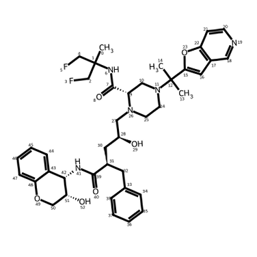 CC(CF)(CF)NC(=O)[C@@H]1CN(C(C)(C)c2cc3cnccc3o2)CCN1C[C@@H](O)C[C@@H](Cc1ccccc1)C(=O)N[C@H]1c2ccccc2OC[C@H]1O